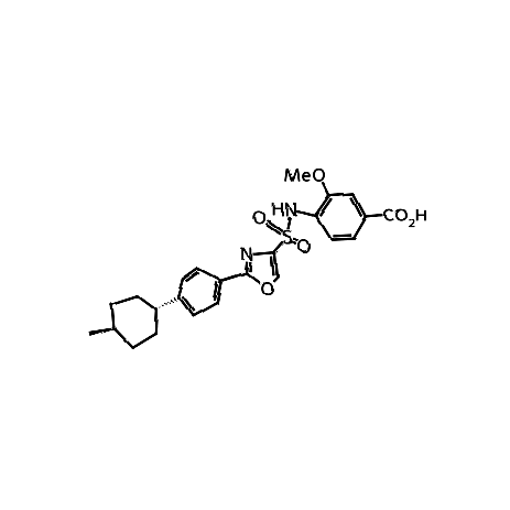 COc1cc(C(=O)O)ccc1NS(=O)(=O)c1coc(-c2ccc([C@H]3CC[C@H](C)CC3)cc2)n1